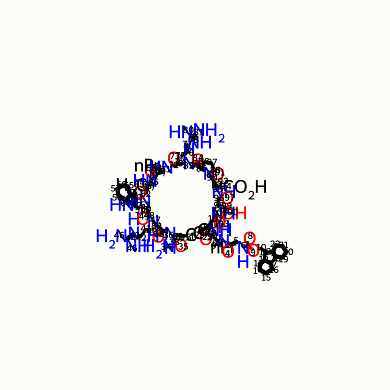 CCC[C@H](NC(=O)CNC(=O)OCC1c2ccccc2-c2ccccc21)C(=O)N[C@H]1CCCC[C@@H](C(N)=O)NC(=O)[C@H](CCCNC(=N)N)NC(=O)[C@H](Cc2cc3ccccc3[nH]2)NC(=O)[C@H](C)NC(=O)[C@H](CCC)NC(=O)[C@H](CCCNC(=N)N)NC(=O)C2CCCN2C(=O)[C@H](CC(=O)O)NC(=O)[C@H](CO)NC1=O